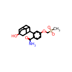 CS(=O)(=O)COc1ccc(C(N)=O)c(C2C3CC4CC2CC(O)(C4)C3)c1